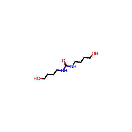 O=C(NCCCCO)NCCCCO